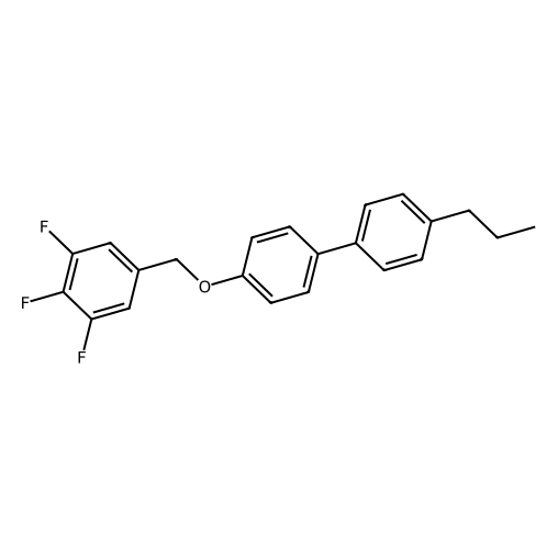 CCCc1ccc(-c2ccc(OCc3cc(F)c(F)c(F)c3)cc2)cc1